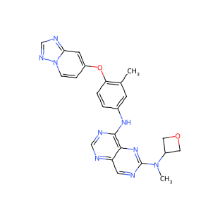 Cc1cc(Nc2ncnc3cnc(N(C)C4COC4)nc23)ccc1Oc1ccn2ncnc2c1